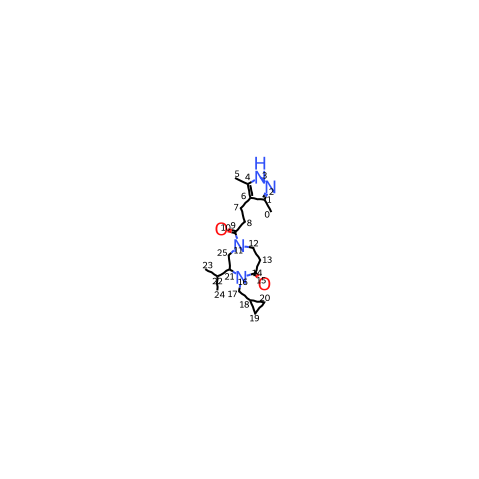 Cc1n[nH]c(C)c1CCC(=O)N1CCC(=O)N(CC2CC2)C(C(C)C)C1